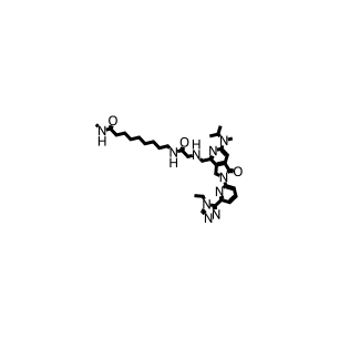 CCn1cnnc1-c1cccc(N2Cc3c(cc(N(C)C(C)C)nc3CNCC(=O)NCCCCCCCCC(=O)NC)C2=O)n1